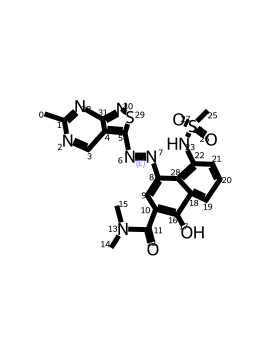 Cc1ncc2c(/N=N/c3cc(C(=O)N(C)C)c(O)c4cccc(NS(C)(=O)=O)c34)snc2n1